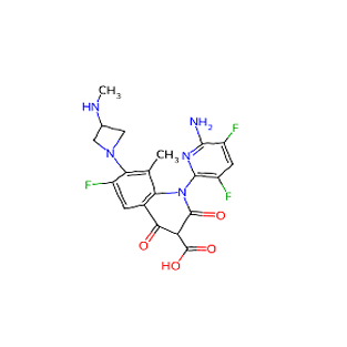 CNC1CN(c2c(F)cc3c(c2C)N(c2nc(N)c(F)cc2F)C(=O)C(C(=O)O)C3=O)C1